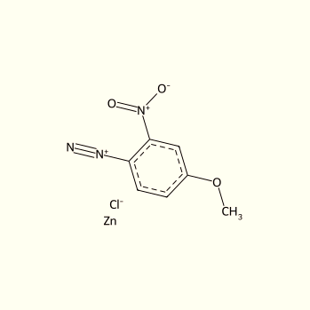 COc1ccc([N+]#N)c([N+](=O)[O-])c1.[Cl-].[Zn]